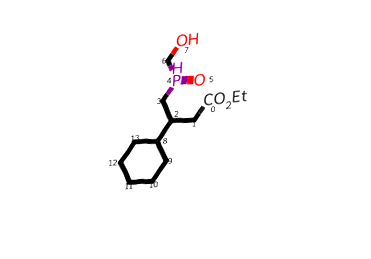 CCOC(=O)CC(C[PH](=O)CO)C1CCCCC1